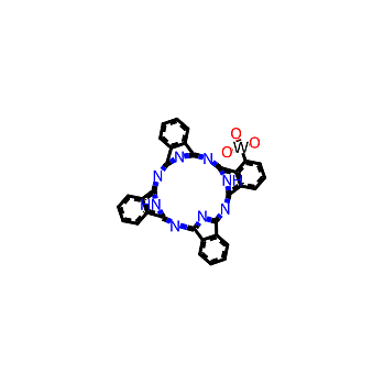 [O]=[W](=[O])(=[O])[c]1cccc2c3nc4nc(nc5[nH]c(nc6nc(nc([nH]3)c12)-c1ccccc1-6)c1ccccc51)-c1ccccc1-4